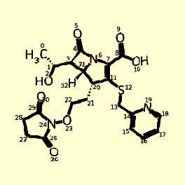 C[C@@H](O)[C@H]1C(=O)N2C(C(=O)O)=C(SCc3ccccn3)[C@H](CCON3C(=O)CCC3=O)[C@H]12